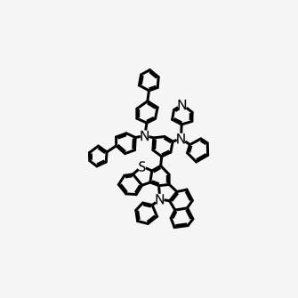 c1ccc(-c2ccc(N(c3ccc(-c4ccccc4)cc3)c3cc(-c4cc5c6ccc7ccccc7c6n(-c6ccccc6)c5c5c4sc4ccccc45)cc(N(c4ccccc4)c4ccncc4)c3)cc2)cc1